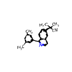 Cc1cc(C)cc(-c2nccc3cc(C(C)(C)C#N)ccc23)c1